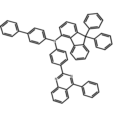 c1ccc(-c2ccc(N(c3ccc(-c4nc(-c5ccccc5)c5ccccc5n4)cc3)c3cccc4c3-c3ccccc3C4(c3ccccc3)c3ccccc3)cc2)cc1